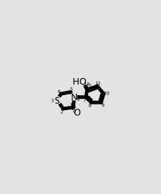 O=C1CSCCN1c1ccccc1O